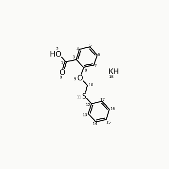 O=C(O)c1ccccc1OCSc1ccccc1.[KH]